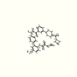 C[C@@H](NC(=O)c1cc(C2CCN(C(=O)C3COC3)CC2)ccn1)c1ccc(-c2cc(C(F)(F)F)ccc2CNC(=O)OC(C)(C)C)cc1